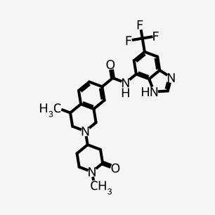 CC1CN(C2CCN(C)C(=O)C2)Cc2cc(C(=O)Nc3cc(C(F)(F)F)cc4nc[nH]c34)ccc21